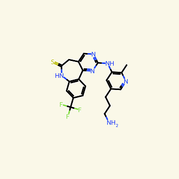 Cc1ncc(CCCN)cc1Nc1ncc2c(n1)-c1ccc(C(F)(F)F)cc1NC(=S)C2